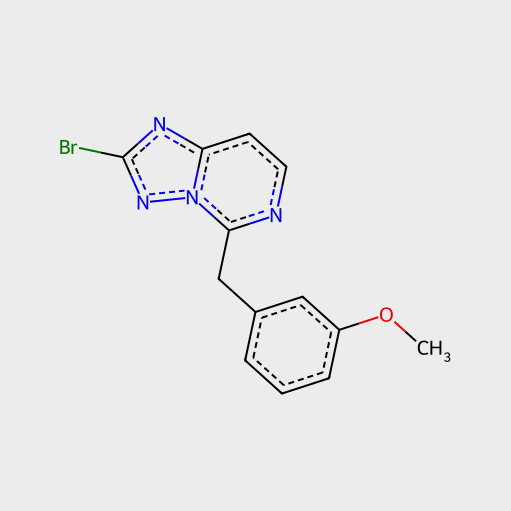 COc1cccc(Cc2nccc3nc(Br)nn23)c1